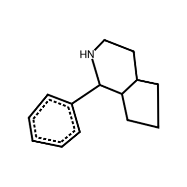 c1ccc(C2NCCC3CCCC32)cc1